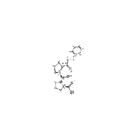 O=C(O)[C@H]1CCCN1C(=O)[C@H]1CCCN1C(=O)OCc1ccccc1